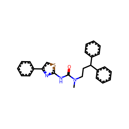 CN(CCC(c1ccccc1)c1ccccc1)C(=O)Nc1nc(-c2ccccc2)cs1